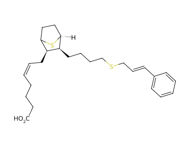 O=C(O)CCC/C=C\C[C@H]1C2CC[C@H](S2)[C@H]1CCCCSCC=Cc1ccccc1